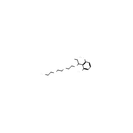 CCCCCCCCCc1cccc(O)c1C(CO)OCCOCCOCCO